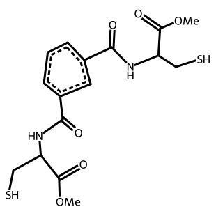 COC(=O)C(CS)NC(=O)c1cccc(C(=O)NC(CS)C(=O)OC)c1